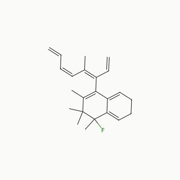 C=C/C=C\C(C)=C(\C=C)C1=C(C)C(C)(C)C(C)(F)C2=CCCC=C21